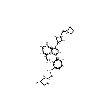 C[C@@H]1CC[C@H](COc2cccc(-c3cn(C4CC(CN5CCC5)C4)c4ncnc(N)c34)c2)O1